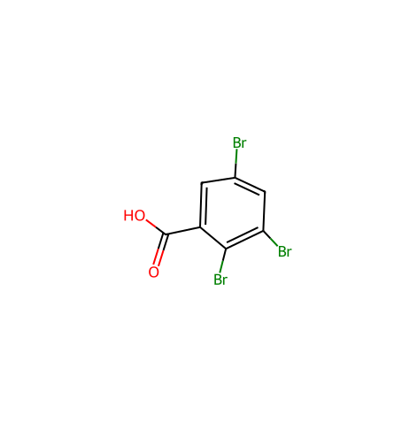 O=C(O)c1cc(Br)cc(Br)c1Br